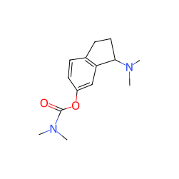 CN(C)C(=O)Oc1ccc2c(c1)C(N(C)C)CC2